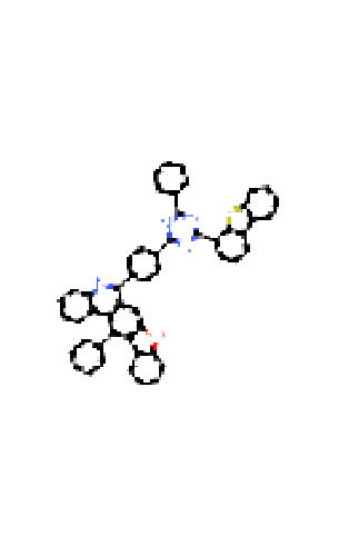 c1ccc(-c2nc(-c3ccc(-c4nc5ccccc5c5c(-c6ccccc6)c6c(cc45)oc4ccccc46)cc3)nc(-c3cccc4c3sc3ccccc34)n2)cc1